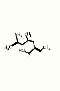 C=C(N)CC(C)C/C(=C\C)SO